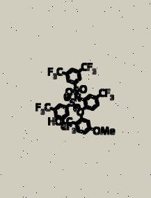 COc1ccc(C(=O)O)c(Oc2ccc(C(F)(F)F)cc2N(S(=O)(=O)c2cc(C(F)(F)F)cc(C(F)(F)F)c2)S(=O)(=O)c2cc(C(F)(F)F)cc(C(F)(F)F)c2)c1